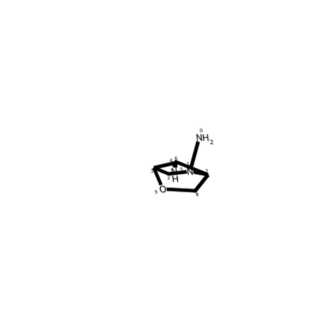 NN1CC2CNCC1CO2